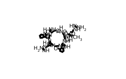 CC(=O)N[C@@H](CCCNC(=N)N)C(=O)N[C@H]1CC(=O)NCCCCC(C(N)=O)NC(=O)[C@H](Cc2c[nH]c3ccccc23)NC(=O)[C@H](CCCNC(=N)N)NC(=O)[C@@H](Cc2ccccc2)NC(=O)[C@H](CO)NC1=O